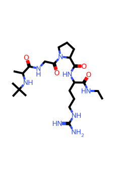 CCNC(=O)C(CCCNC(=N)N)NC(=O)C1CCCN1C(=O)CNC(=O)C(C)NC(C)(C)C